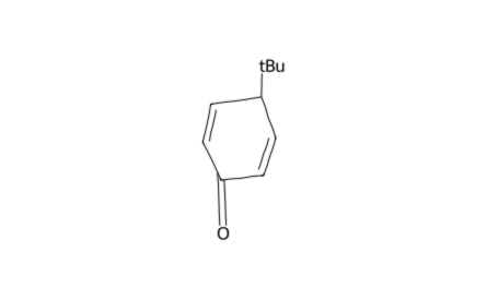 CC(C)(C)C1C=CC(=O)C=C1